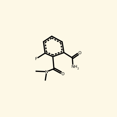 CN(C)C(=O)c1c(F)cccc1C(N)=O